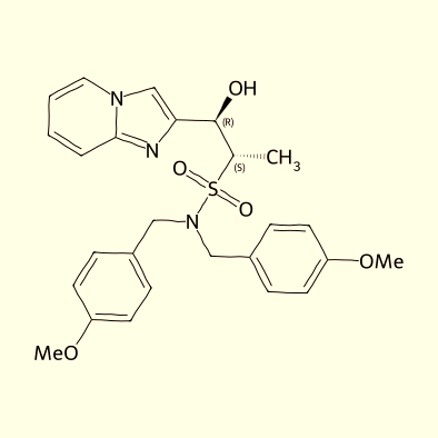 COc1ccc(CN(Cc2ccc(OC)cc2)S(=O)(=O)[C@@H](C)[C@H](O)c2cn3ccccc3n2)cc1